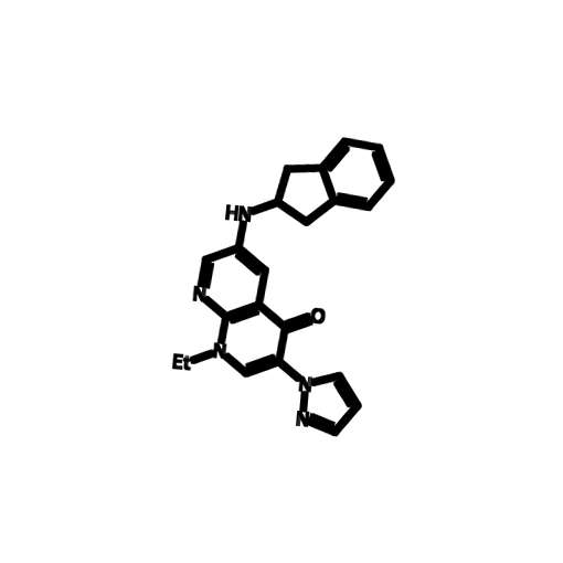 CCn1cc(-n2cccn2)c(=O)c2cc(NC3Cc4ccccc4C3)cnc21